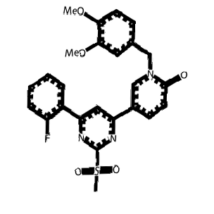 COc1ccc(Cn2cc(-c3cc(-c4ccccc4F)nc(S(C)(=O)=O)n3)ccc2=O)cc1OC